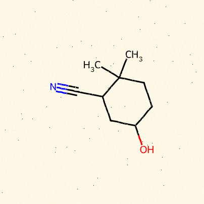 CC1(C)CCC(O)CC1C#N